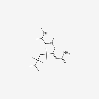 C=C(N)/C=C(\CN(C)CC(C)NC)C(C)(C)CC(C)(C)C(C)C